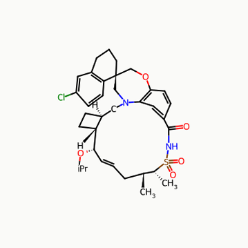 CC(C)O[C@H]1/C=C/C[C@H](C)[C@@H](C)S(=O)(=O)NC(=O)c2ccc3c(c2)N(C[C@@H]2CC[C@H]21)C[C@@]1(CCCc2cc(Cl)ccc21)CO3